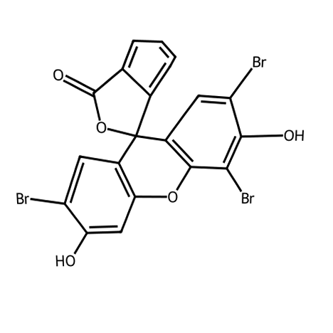 O=C1OC2(c3cc(Br)c(O)cc3Oc3c2cc(Br)c(O)c3Br)c2ccccc21